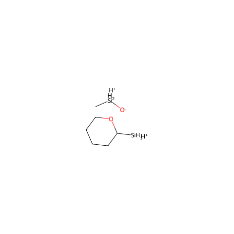 C[SiH2][O].[H+].[H+].[SiH3]C1CCCCO1